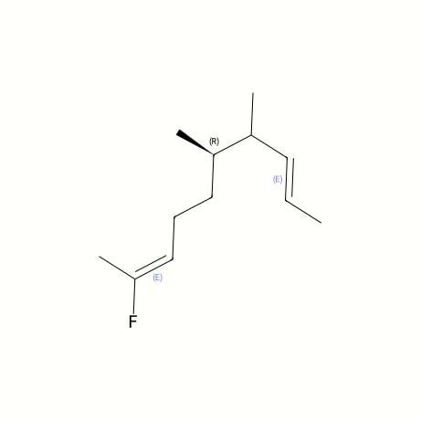 C/C=C/C(C)[C@H](C)CC/C=C(\C)F